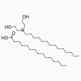 CCCCCCCCCCCCCCC(=O)O.CCCCCCCCCCCCCCN(CCO)CCO